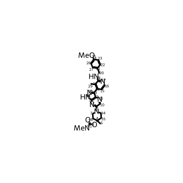 CNC(=O)OC1(C)CCN(c2cnc3c(-c4ccnc(NCc5ccc(OC)cc5)c4C)n[nH]c3n2)CC1